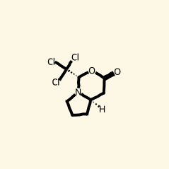 O=C1C[C@H]2CCCN2[C@H](C(Cl)(Cl)Cl)O1